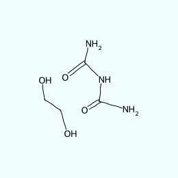 NC(=O)NC(N)=O.OCCO